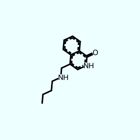 CCCCNCc1c[nH]c(=O)c2ccccc12